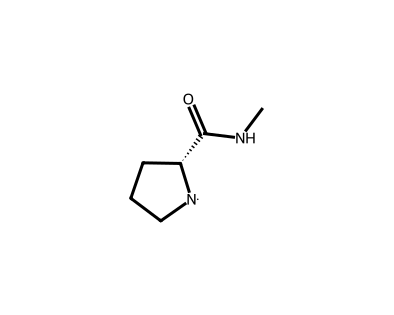 CNC(=O)[C@H]1CCC[N]1